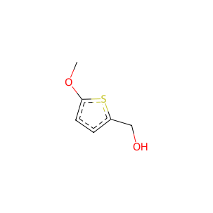 COc1ccc(CO)s1